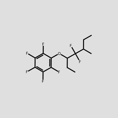 CCC(C)C(F)(F)C(CC)Oc1c(F)c(F)c(F)c(F)c1F